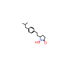 CC(C)Cc1ccc(CCC2CCC(=O)N2O)cc1